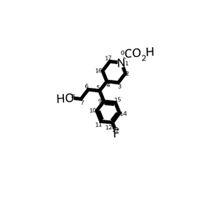 O=C(O)N1CCC(C(CCO)c2ccc(F)cc2)CC1